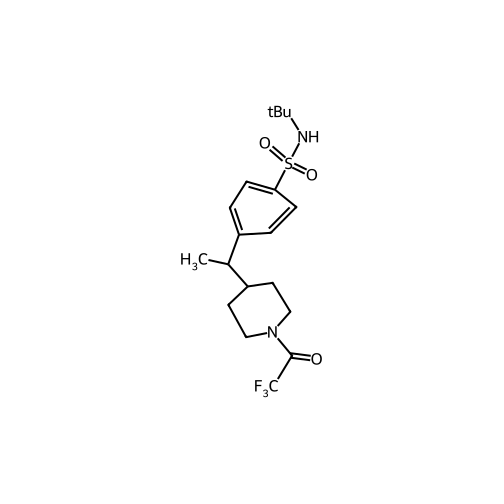 CC(c1ccc(S(=O)(=O)NC(C)(C)C)cc1)C1CCN(C(=O)C(F)(F)F)CC1